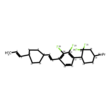 C/C=C/C1CCC(/C=C/c2ccc(C3CCC(CCC)CC3(F)F)c(F)c2F)CC1